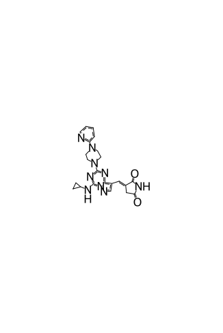 O=C1C/C(=C\c2cnn3c(NC4CC4)nc(N4CCN(c5ccccn5)CC4)nc23)C(=O)N1